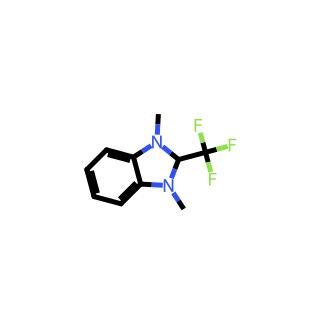 CN1c2ccccc2N(C)C1C(F)(F)F